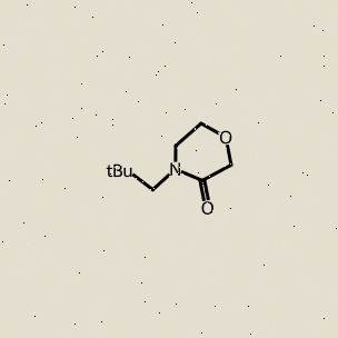 CC(C)(C)CN1CCOCC1=O